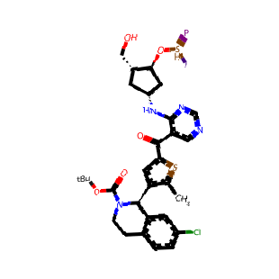 Cc1sc(C(=O)c2cncnc2N[C@@H]2C[C@H](CO)[C@@H](O[SH](#P)I)C2)cc1[C@H]1c2cc(Cl)ccc2CCN1C(=O)OC(C)(C)C